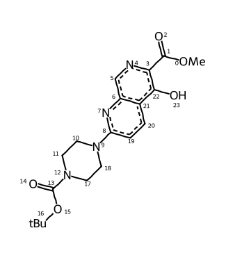 COC(=O)c1ncc2nc(N3CCN(C(=O)OC(C)(C)C)CC3)ccc2c1O